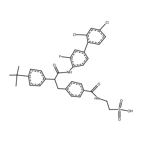 CC(C)(C)c1ccc(C(Cc2ccc(C(=O)NCCS(=O)(=O)O)cc2)C(=O)Nc2ccc(-c3ccc(Cl)cc3Cl)cc2F)cc1